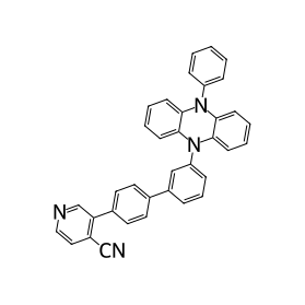 N#Cc1ccncc1-c1ccc(-c2cccc(N3c4ccccc4N(c4ccccc4)c4ccccc43)c2)cc1